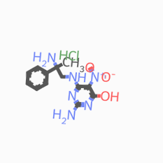 CC(N)(CNc1nc(N)nc(O)c1[N+](=O)[O-])c1ccccc1.Cl